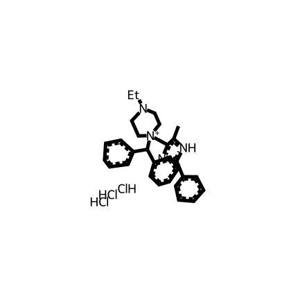 CCN1CC[N+](c2nc(-c3ccccc3)[nH]c2C)(C(c2ccccc2)c2ccccc2)CC1.Cl.Cl.Cl